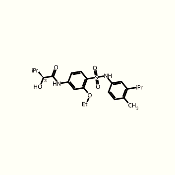 CCOc1cc(NC(=O)[C@@H](O)C(C)C)ccc1S(=O)(=O)Nc1ccc(C)c(C(C)C)c1